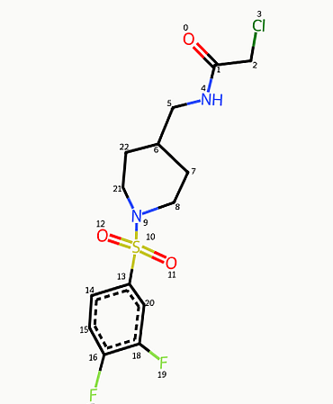 O=C(CCl)NCC1CCN(S(=O)(=O)c2ccc(F)c(F)c2)CC1